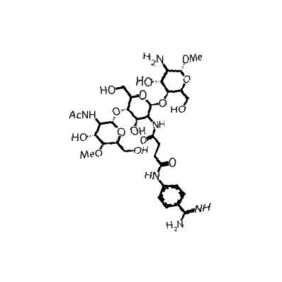 CO[C@@H]1OC(CO)[C@@H](O[C@@H]2OC(CO)[C@@H](O[C@@H]3OC(CO)[C@@H](OC)[C@H](O)C3NC(C)=O)[C@H](O)C2NC(=O)CCC(=O)Nc2ccc(C(=N)N)cc2)[C@H](O)C1N